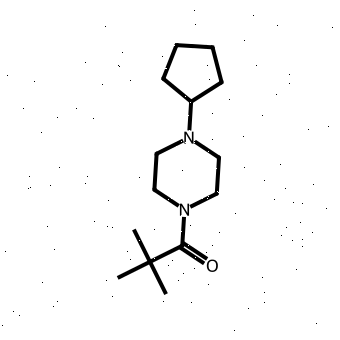 CC(C)(C)C(=O)N1CCN(C2CCCC2)CC1